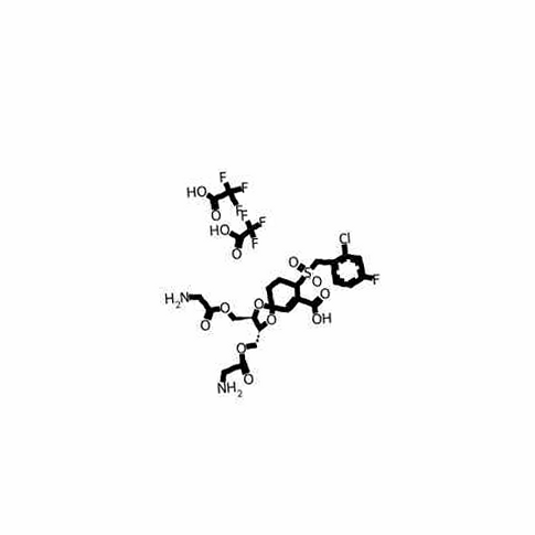 NCC(=O)OC[C@H]1OC2(C=C(C(=O)O)C(S(=O)(=O)Cc3ccc(F)cc3Cl)CC2)O[C@@H]1COC(=O)CN.O=C(O)C(F)(F)F.O=C(O)C(F)(F)F